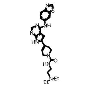 CCN(CC)CCNC(=O)N1CC=C(c2cc3c(Nc4ccc5ncsc5c4)ncnc3[nH]2)CC1